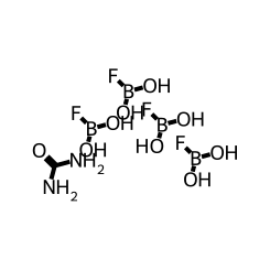 NC(N)=O.OB(O)F.OB(O)F.OB(O)F.OB(O)F